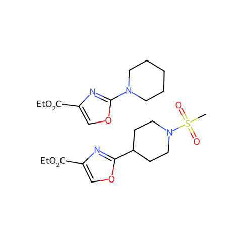 CCOC(=O)c1coc(C2CCN(S(C)(=O)=O)CC2)n1.CCOC(=O)c1coc(N2CCCCC2)n1